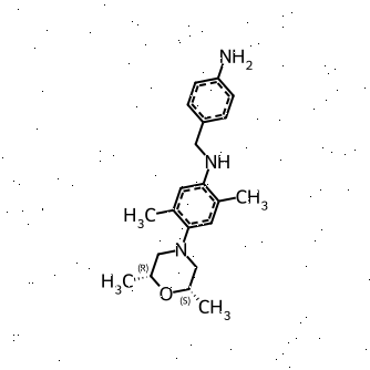 Cc1cc(N2C[C@@H](C)O[C@@H](C)C2)c(C)cc1NCc1ccc(N)cc1